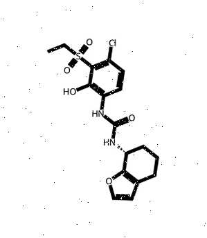 CCS(=O)(=O)c1c(Cl)ccc(NC(=O)N[C@@H]2CCCc3ccoc32)c1O